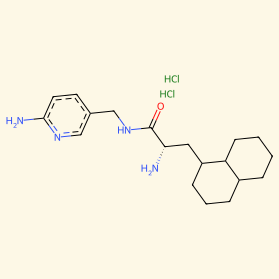 Cl.Cl.Nc1ccc(CNC(=O)[C@@H](N)CC2CCCC3CCCCC32)cn1